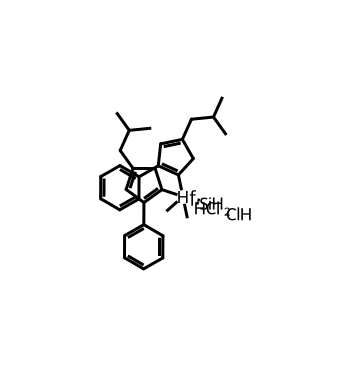 CC(C)CC1=CC(c2ccccc2)=[C]([Hf]([CH3])([CH3])(=[SiH2])[C]2=C(c3ccccc3)C=C(CC(C)C)C2)C1.Cl.Cl